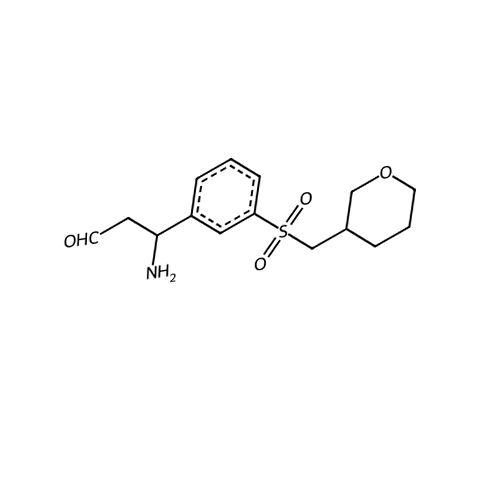 NC(CC=O)c1cccc(S(=O)(=O)CC2CCCOC2)c1